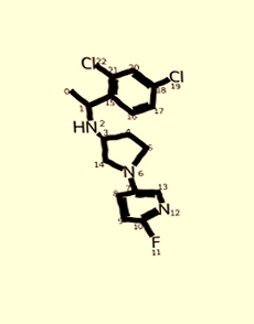 CC(N[C@H]1CCN(c2ccc(F)nc2)C1)c1ccc(Cl)cc1Cl